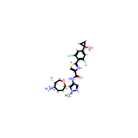 Cn1ncc(NC(=O)c2csc(-c3c(F)cc(C4(O)CC4)cc3F)n2)c1[C@@H]1CC[C@@H](N)[C@H](F)CO1